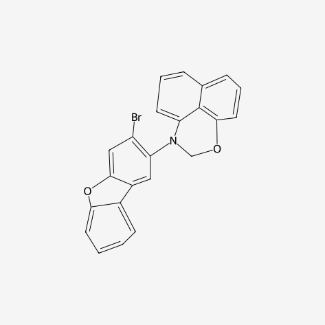 Brc1cc2oc3ccccc3c2cc1N1COc2cccc3cccc1c23